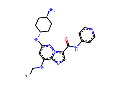 CCNc1cc(N[C@H]2CC[C@H](N)CC2)nn2c(C(=O)Nc3ccncc3)cnc12